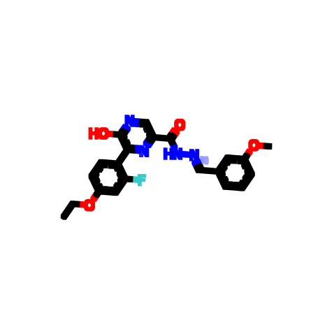 CCOc1ccc(-c2nc(C(=O)N/N=C/c3cccc(OC)c3)cnc2O)c(F)c1